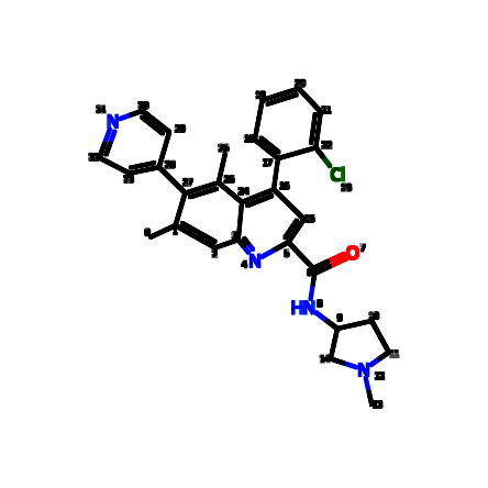 Cc1cc2nc(C(=O)NC3CCN(C)C3)cc(-c3ccccc3Cl)c2c(C)c1-c1ccncc1